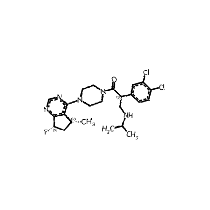 CC(C)NC[C@@H](C(=O)N1CCN(c2ncnc3c2[C@H](C)C[C@@H]3F)CC1)c1ccc(Cl)c(Cl)c1